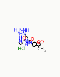 Cc1cc(=O)oc2cc(NC(=O)[C@H](CCCNC(=N)N)NC(=O)[C@@H]3CCCN3)ccc12.Cl